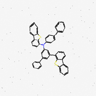 c1ccc(-c2ccc(N(c3cc(-c4ccccc4)cc(-c4cccc5c4sc4ccccc45)c3)c3cccc4c3sc3ccccc34)cc2)cc1